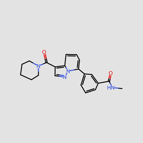 CNC(=O)c1cccc(-c2cccc3c(C(=O)N4CCCCC4)cnn23)c1